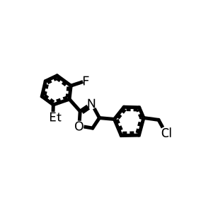 CCc1cccc(F)c1C1=NC(c2ccc(CCl)cc2)CO1